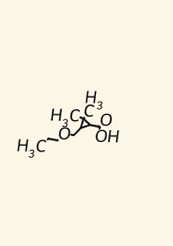 CCCOCC1C(C(=O)O)C1(C)C